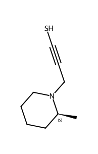 C[C@H]1CCCCN1CC#CS